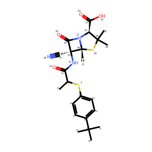 CC(Sc1ccc(C(C)(C)C)cc1)C(=O)N[C@@]1(C#N)C(=O)N2[C@@H](C(=O)O)C(C)(C)S[C@@H]21